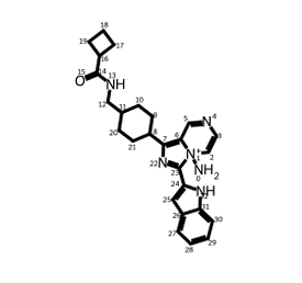 N[N+]12C=CN=CC1=C(C1CCC(CNC(=O)C3CCC3)CC1)N=C2c1cc2ccccc2[nH]1